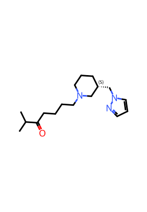 CC(C)C(=O)CCCCN1CCC[C@H](Cn2cccn2)C1